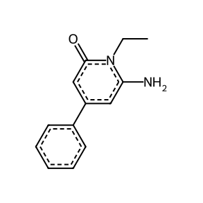 CCn1c(N)cc(-c2ccccc2)cc1=O